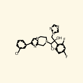 C[C@@H](N1CCn2cc(-c3cccc(Cl)c3)nc2C1)[C@](O)(Cn1cncn1)c1ccc(F)cc1F